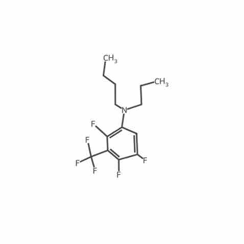 CCCCN(CCC)c1cc(F)c(F)c(C(F)(F)F)c1F